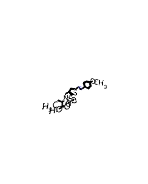 CCC(C(=O)O)N1Cc2cc(/C=C/c3ccc(OC)cc3)sc2S1(=O)=O